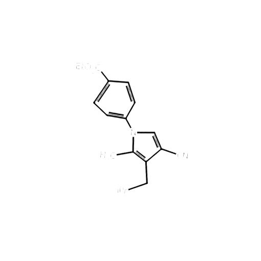 CCOC(=O)c1ccc(-n2cc(C#N)c(CC(C)C)c2C)cc1